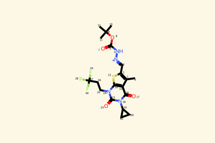 Cc1c(C=NNC(=O)OC(C)(C)C)sc2c1c(=O)n(C1CC1)c(=O)n2CCC(F)(F)F